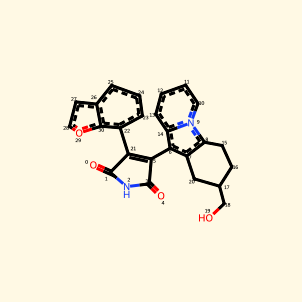 O=C1NC(=O)C(c2c3c(n4ccccc24)CCC(CO)C3)=C1c1cccc2ccoc12